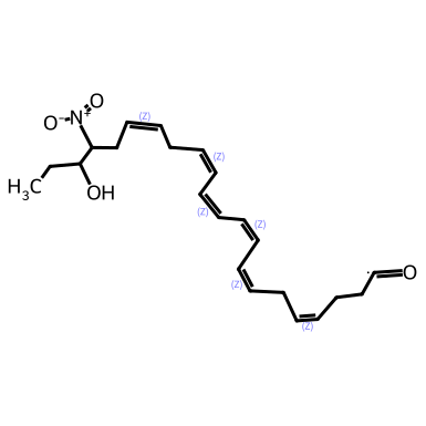 CCC(O)C(C/C=C\C\C=C/C=C\C=C/C=C\C/C=C\CC[C]=O)[N+](=O)[O-]